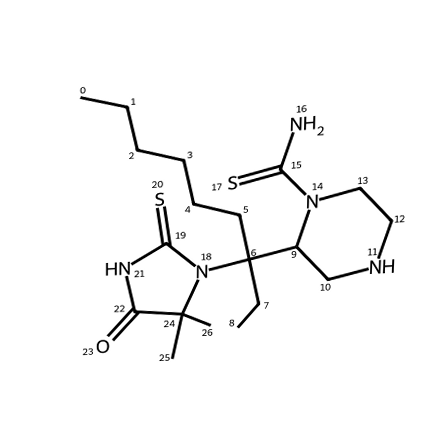 CCCCCCC(CC)(C1CNCCN1C(N)=S)N1C(=S)NC(=O)C1(C)C